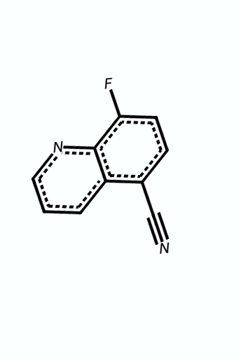 N#Cc1ccc(F)c2ncccc12